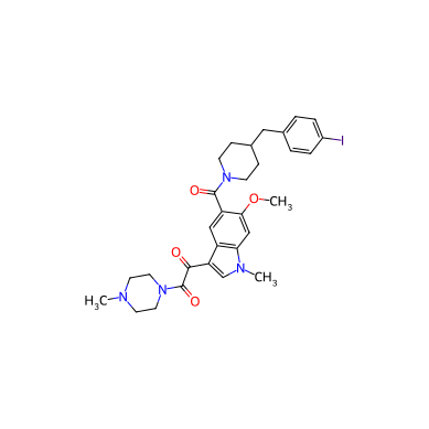 COc1cc2c(cc1C(=O)N1CCC(Cc3ccc(I)cc3)CC1)c(C(=O)C(=O)N1CCN(C)CC1)cn2C